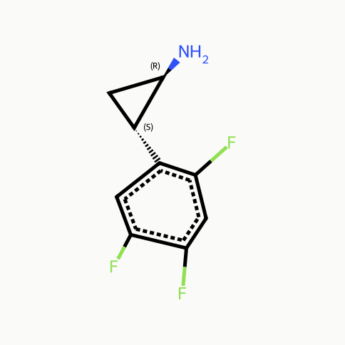 N[C@@H]1C[C@H]1c1cc(F)c(F)cc1F